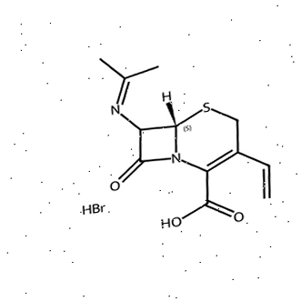 Br.C=CC1=C(C(=O)O)N2C(=O)C(N=C(C)C)[C@@H]2SC1